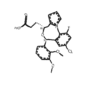 COc1cccc([C@H]2O[C@H](CCC(=O)O)c3cccn3-c3c(F)cc(Cl)cc32)c1OC